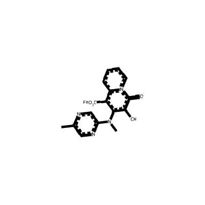 CCOC(=O)c1c(N(C)c2cnc(C)cn2)c(C#N)c(=O)n2ccccc12